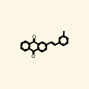 Cc1cccc(C=Cc2ccc3c(c2)C(=O)c2ccccc2C3=O)c1